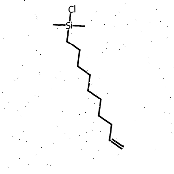 C=CCCCCCCCC[Si](C)(C)Cl